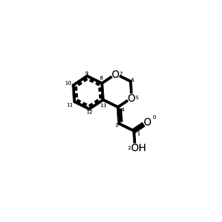 O=C(O)/C=C1\OCOc2ccccc21